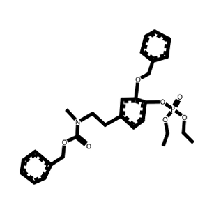 CCOP(=O)(OCC)Oc1ccc(CCN(C)C(=O)OCc2ccccc2)cc1OCc1ccccc1